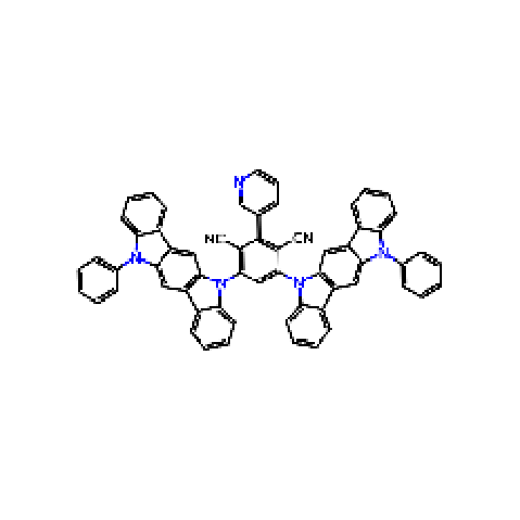 N#Cc1c(-n2c3ccccc3c3cc4c(cc32)c2ccccc2n4-c2ccccc2)cc(-n2c3ccccc3c3cc4c(cc32)c2ccccc2n4-c2ccccc2)c(C#N)c1-c1cccnc1